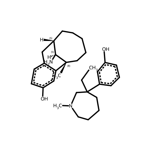 CCC1(c2cccc(O)c2)CCCCN(C)C1.C[C@@]12CCCCC[C@@H](Cc3ccc(O)cc31)[C@@H]2N